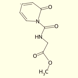 COC(=O)CNC(=O)n1cc[c]cc1=O